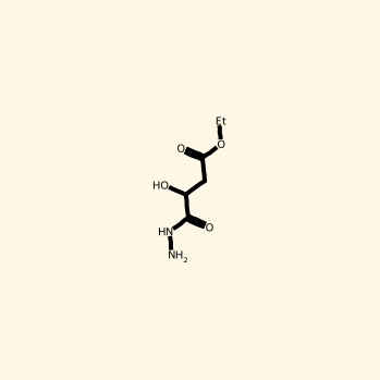 CCOC(=O)CC(O)C(=O)NN